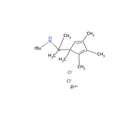 CC1=CC(C)([Si](C)(C)NC(C)(C)C)C(C)=C1C.[Cl-].[Cl-].[Zr+2]